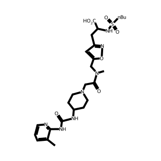 CCCCS(=O)(=O)NC(Cc1cc(CN(C)C(=O)CN2CCC(NC(=O)Nc3ncccc3C)CC2)on1)C(=O)O